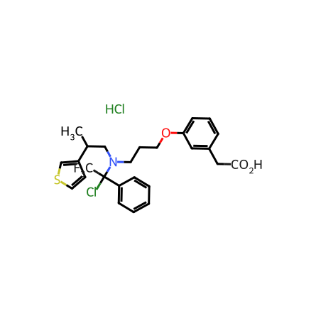 CC(CN(CCCOc1cccc(CC(=O)O)c1)C(Cl)(c1ccccc1)C(F)(F)F)c1ccsc1.Cl